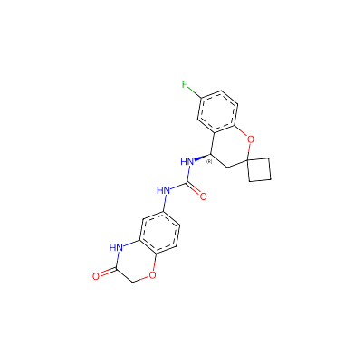 O=C1COc2ccc(NC(=O)N[C@@H]3CC4(CCC4)Oc4ccc(F)cc43)cc2N1